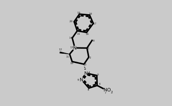 CC1C[C@H](n2cc([N+](=O)[O-])cn2)C[C@@H](C)N1Cc1ccccc1